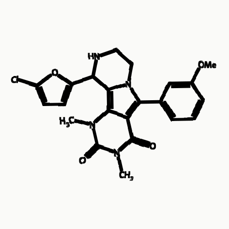 COc1cccc(-c2c3c(=O)n(C)c(=O)n(C)c3c3n2CCNC3c2ccc(Cl)o2)c1